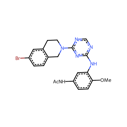 COc1ccc(NC(C)=O)cc1Nc1ncnc(N2CCc3cc(Br)ccc3C2)n1